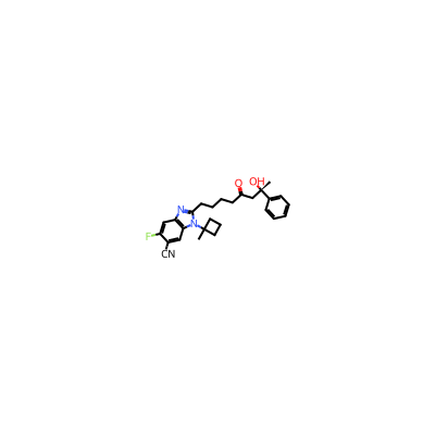 CC1(n2c(CCCCC(=O)C[C@](C)(O)c3ccccc3)nc3cc(F)c(C#N)cc32)CCC1